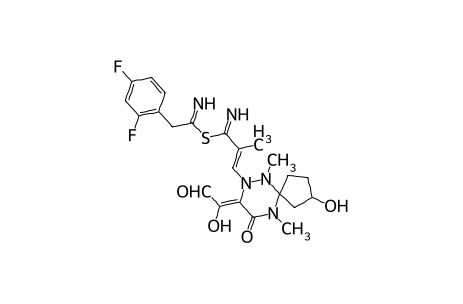 C/C(=C\N1/C(=C(/O)C=O)C(=O)N(C)C2(CCC(O)C2)N1C)C(=N)SC(=N)Cc1ccc(F)cc1F